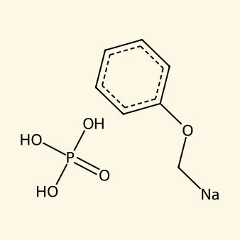 O=P(O)(O)O.[Na][CH2]Oc1ccccc1